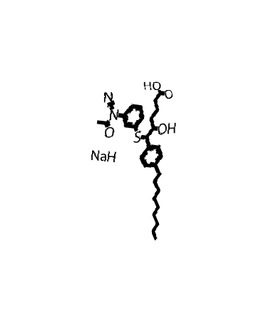 CCCCCCCCCc1ccc(C(Sc2cccc(N(C#N)C(C)=O)c2)C(O)CCCC(=O)O)cc1.[NaH]